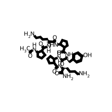 CC(=O)NC1CCCC1C(=O)N[C@@H](CCCCN)C(=O)NC1CCCC1C(=O)N[C@@H](Cc1ccc(O)cc1)C(=O)NC1CCCC1C(=O)N[C@@H](CCCCN)C(N)=O